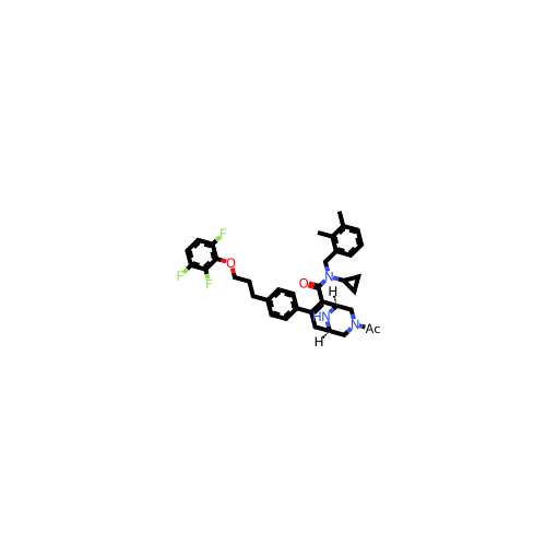 CC(=O)N1C[C@H]2CC(c3ccc(CCCOc4c(F)ccc(F)c4F)cc3)=C(C(=O)N(Cc3cccc(C)c3C)C3CC3)[C@@H](C1)N2